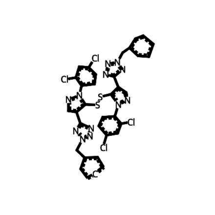 Clc1ccc(-n2ncc(-c3nnn(Cc4ccccc4)n3)c2SSc2c(-c3nnn(Cc4ccccc4)n3)cnn2-c2ccc(Cl)cc2Cl)c(Cl)c1